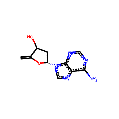 C=C1O[C@@H](n2cnc3c(N)ncnc32)CC1O